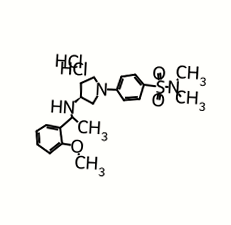 COc1ccccc1C(C)N[C@H]1CCN(c2ccc(S(=O)(=O)N(C)C)cc2)C1.Cl.Cl